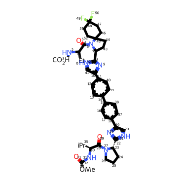 CCC(NC(=O)O)C(=O)N1C(c2nc(-c3ccc(-c4ccc(-c5c[nH]c([C@@H]6CCCN6C(=O)[C@@H](NC(=O)OC)C(C)C)n5)cc4)cc3)c[nH]2)CCC12CCC(F)(F)CC2